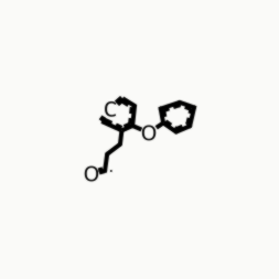 O=[C]CCc1ccccc1Oc1ccccc1